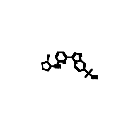 CC(C)(O)c1ccn2c(-c3cccc(N[C@H]4CCC[C@@H]4F)n3)cnc2c1